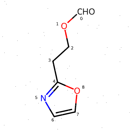 O=COCCc1ncco1